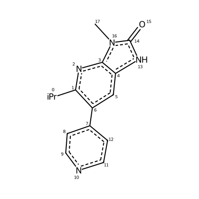 CC(C)c1nc2c(cc1-c1ccncc1)[nH]c(=O)n2C